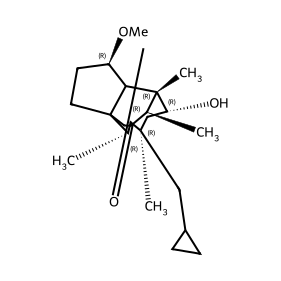 CO[C@@H]1CCC23CC[C@@H](C)[C@](C)(C12)[C@H](O)C[C@@](C)(CC1CC1)C(=O)[C@@H]3C